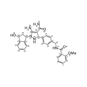 COc1ccccc1C(=O)NCc1ccc(C2NN(C3CC(O)c4ccccc43)C(N)=C2C(N)=O)cc1